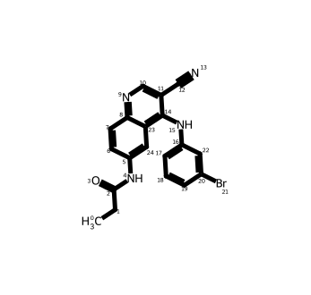 CCC(=O)Nc1ccc2ncc(C#N)c(Nc3cccc(Br)c3)c2c1